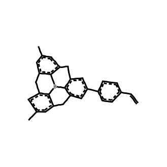 C=Cc1ccc(-c2cc3c4c(c2)Cc2cc(C)cc5c2B4c2c(cc(C)cc2C3)C5)cc1